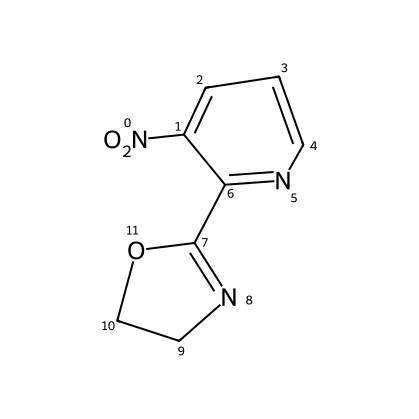 O=[N+]([O-])c1cccnc1C1=NCCO1